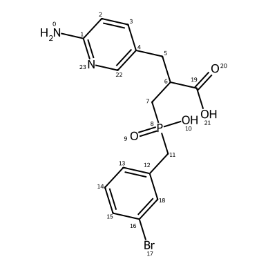 Nc1ccc(CC(CP(=O)(O)Cc2cccc(Br)c2)C(=O)O)cn1